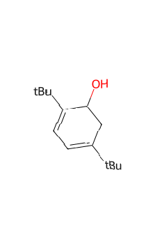 CC(C)(C)C1=CC=C(C(C)(C)C)C(O)C1